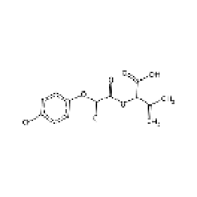 C=C(C)C(OC(=O)C(Cl)Oc1ccc(Cl)cc1)C(=O)O